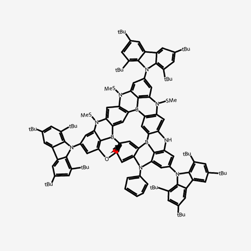 CSN1c2cc3c(cc2B2c4ccccc4Oc4cc(-n5c6c(C(C)(C)C)cc(C(C)(C)C)cc6c6cc(C(C)(C)C)cc(C(C)(C)C)c65)cc1c42)B1c2cc4c(cc2N(SC)c2cc(-n5c6c(C(C)(C)C)cc(C(C)(C)C)cc6c6cc(C(C)(C)C)cc(C(C)(C)C)c65)cc(c21)N3SC)Nc1cc(-n2c3c(C(C)(C)C)cc(C(C)(C)C)cc3c3cc(C(C)(C)C)cc(C(C)(C)C)c32)cc2c1B4c1ccccc1N2c1ccccc1